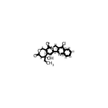 CC[C@@]1(O)CC(=O)OCc2c1cc1n(c2=O)Cc2c-1nc1ccccc1c2Cl